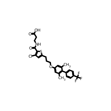 Cc1cc(OCCCc2cc(Cl)c(C(=O)NCCC(=O)O)s2)cc(C)c1-c1ccc(C(F)(F)F)cc1